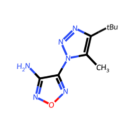 Cc1c(C(C)(C)C)nnn1-c1nonc1N